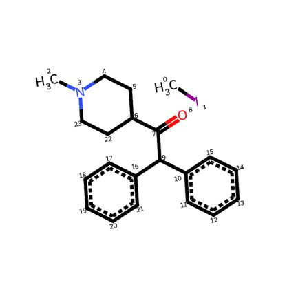 CI.CN1CCC(C(=O)C(c2ccccc2)c2ccccc2)CC1